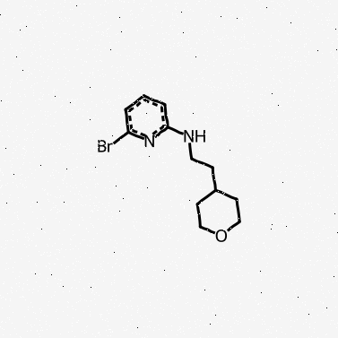 Brc1cccc(NCCC2CCOCC2)n1